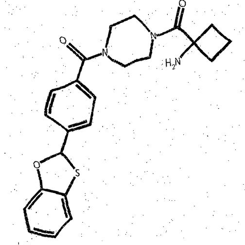 NC1(C(=O)N2CCN(C(=O)c3ccc(C4Oc5ccccc5S4)cc3)CC2)CCC1